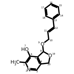 Cc1ncc2c(c1O)C(OC/C=C/c1ccccc1)OC2